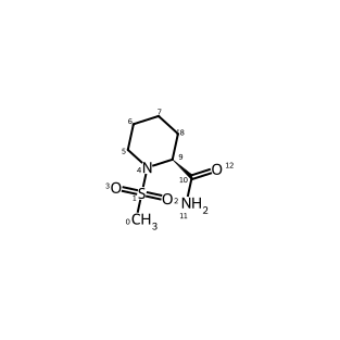 CS(=O)(=O)N1CCC[CH][C@H]1C(N)=O